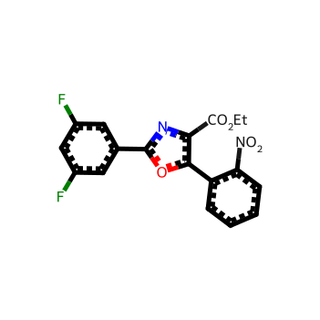 CCOC(=O)c1nc(-c2cc(F)cc(F)c2)oc1-c1ccccc1[N+](=O)[O-]